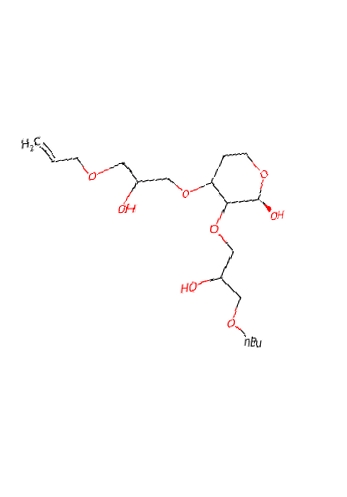 C=CCOCC(O)COC1CCO[C@@H](O)C1OCC(O)COCCCC